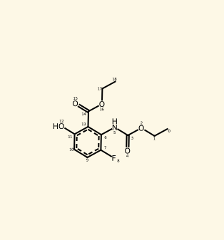 CCOC(=O)Nc1c(F)ccc(O)c1C(=O)OCC